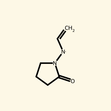 C=C[N]N1CCCC1=O